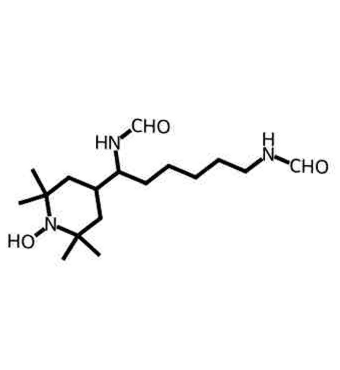 CC1(C)CC(C(CCCCCNC=O)NC=O)CC(C)(C)N1O